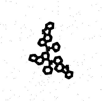 c1ccc(N(c2cc(N(c3ccccc3)c3cccc4c3ccc3c5ccccc5sc43)c3ccc4ccccc4c3c2)c2cccc3c2ccc2c4ccccc4sc32)cc1